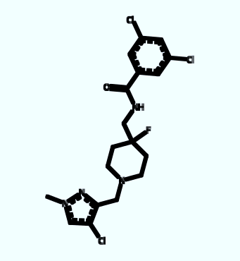 Cn1cc(Cl)c(CN2CCC(F)(CNC(=O)c3cc(Cl)cc(Cl)c3)CC2)n1